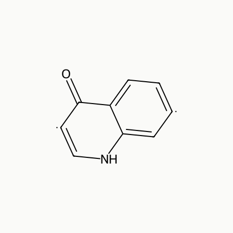 O=c1[c]c[nH]c2c[c]ccc12